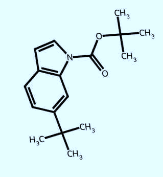 CC(C)(C)OC(=O)n1ccc2ccc(C(C)(C)C)cc21